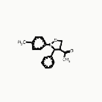 CC(=O)C1CON(c2ccc(C)cc2)C1c1ccccc1